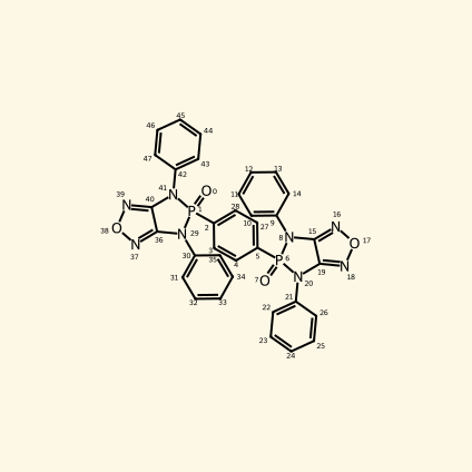 O=P1(c2ccc(P3(=O)N(c4ccccc4)c4nonc4N3c3ccccc3)cc2)N(c2ccccc2)c2nonc2N1c1ccccc1